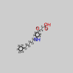 O=C(O)CCC(=O)c1ccc(NCCCCCCc2ccccc2)cc1